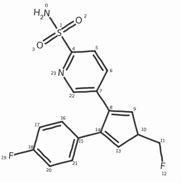 NS(=O)(=O)c1ccc(C2=CC(CF)C=C2c2ccc(F)cc2)cn1